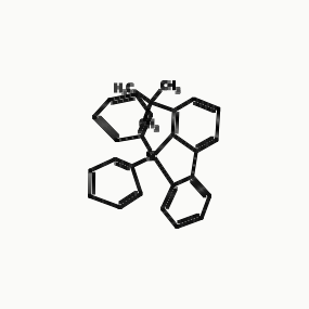 CC(C)(C)c1cccc2c1[Si](c1ccccc1)(c1ccccc1)c1ccccc1-2